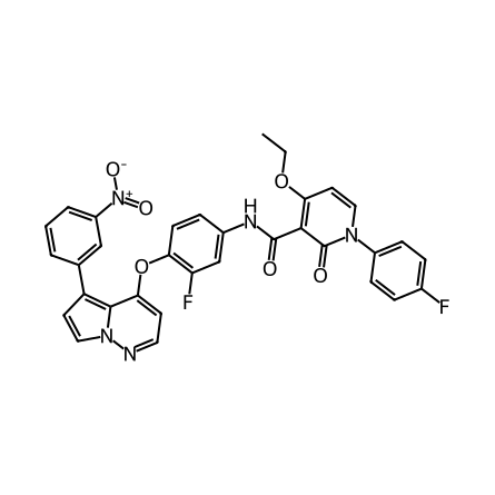 CCOc1ccn(-c2ccc(F)cc2)c(=O)c1C(=O)Nc1ccc(Oc2ccnn3ccc(-c4cccc([N+](=O)[O-])c4)c23)c(F)c1